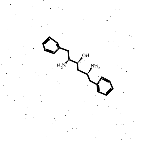 N[C@@H](Cc1ccccc1)C[C@H](O)[C@@H](N)Cc1ccccc1